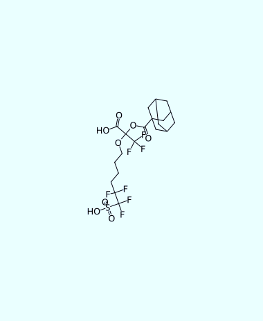 O=C(OC(OCCCCC(F)(F)C(F)(F)S(=O)(=O)O)(C(=O)O)C(F)(F)F)C12CC3CC(CC(C3)C1)C2